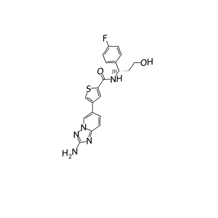 Nc1nc2ccc(-c3csc(C(=O)N[C@@H](CCO)c4ccc(F)cc4)c3)cn2n1